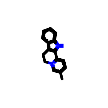 Cc1ccc2[n+](c1)CCc1c-2[nH]c2ccccc12